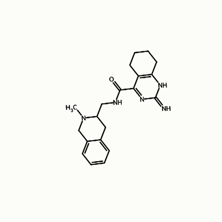 CN1Cc2ccccc2CC1CNC(=O)c1nc(=N)[nH]c2c1CCCC2